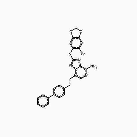 Nc1ncn(CCc2ccc(-c3ccccc3)cc2)c2nc(Sc3cc4c(cc3Br)OCO4)nc1-2